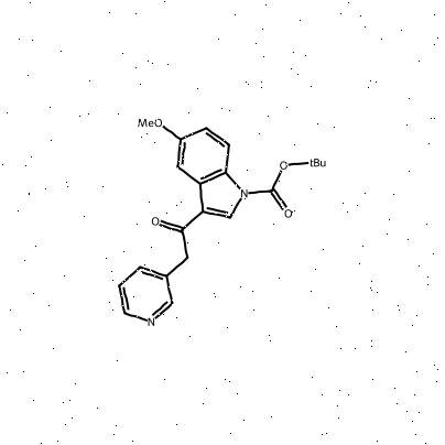 COc1ccc2c(c1)c(C(=O)Cc1cccnc1)cn2C(=O)OC(C)(C)C